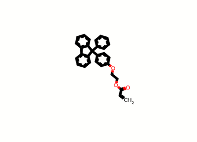 C=CC(=O)OCCOc1ccc(C2(c3ccccc3)c3ccccc3-c3ccccc32)cc1